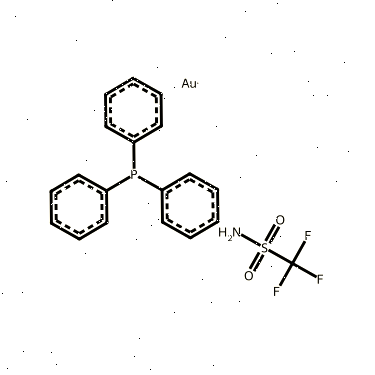 NS(=O)(=O)C(F)(F)F.[Au].c1ccc(P(c2ccccc2)c2ccccc2)cc1